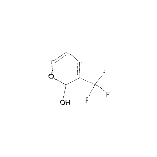 OC1OC=C[C]=C1C(F)(F)F